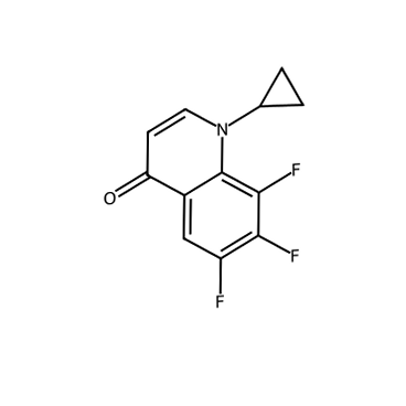 O=c1ccn(C2CC2)c2c(F)c(F)c(F)cc12